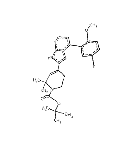 COc1ccc(F)cc1-c1ccnc2[nH]c(C3=CC(C)(C)N(C(=O)OC(C)(C)C)CC3)cc12